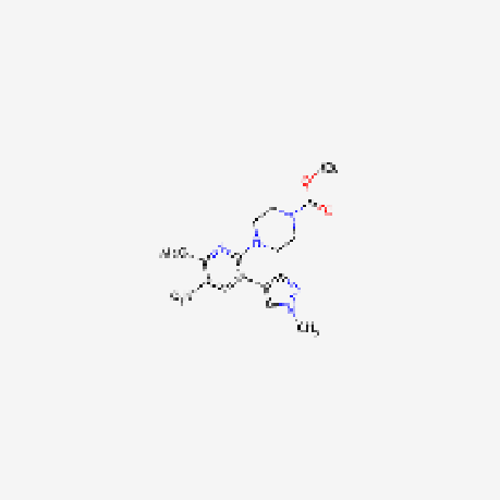 COc1nc(N2CCN(C(=O)OC(C)(C)C)CC2)c(-c2cnn(C)c2)cc1[N+](=O)[O-]